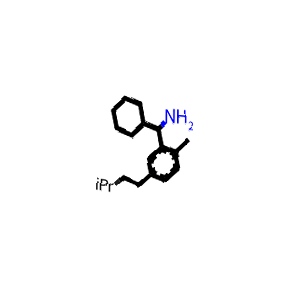 Cc1ccc(CCC(C)C)cc1C(N)C1CCCCC1